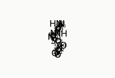 O=C([C@H]1CCc2c(sc3ncnc(Nc4ccc5[nH]ncc5c4)c23)C1)N1CCS(=O)(=O)CC1